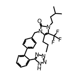 CCCc1c(C(F)(F)F)n(CCC(C)C)c(=O)n1Cc1ccc(-c2ccccc2-c2nnn[nH]2)cc1